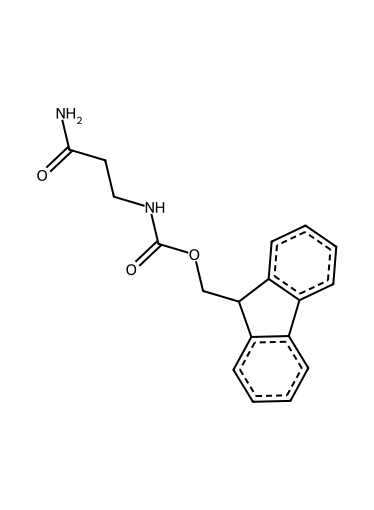 NC(=O)CCNC(=O)OCC1c2ccccc2-c2ccccc21